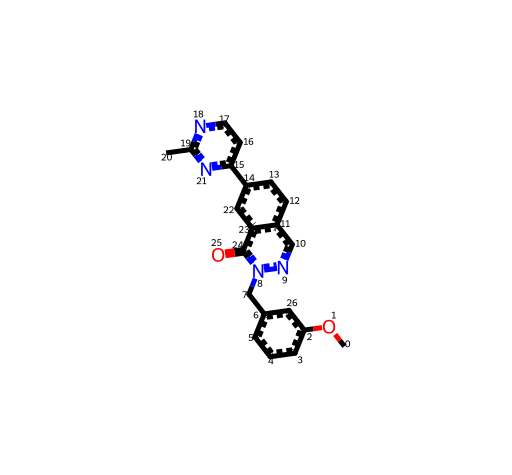 COc1cccc(Cn2ncc3ccc(-c4ccnc(C)n4)cc3c2=O)c1